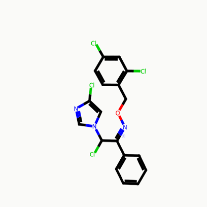 Clc1ccc(CO/N=C(/c2ccccc2)C(Cl)n2cnc(Cl)c2)c(Cl)c1